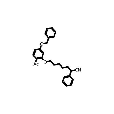 CC(=O)c1ccc(OCc2ccccc2)cc1OCCCCCC(C#N)c1ccccc1